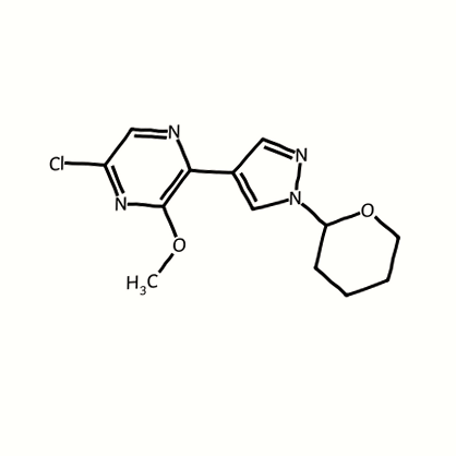 COc1nc(Cl)cnc1-c1cnn(C2CCCCO2)c1